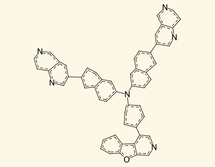 c1ccc2c(c1)oc1cncc(-c3ccc(N(c4ccc5cc(-c6cnc7ccncc7c6)ccc5c4)c4ccc5cc(-c6cnc7ccncc7c6)ccc5c4)cc3)c12